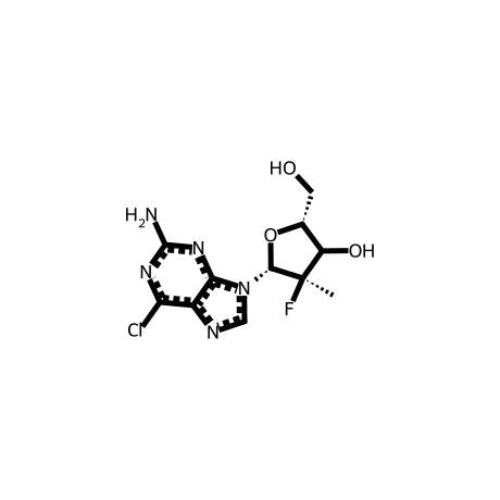 C[C@@]1(F)C(O)[C@@H](CO)O[C@H]1n1cnc2c(Cl)nc(N)nc21